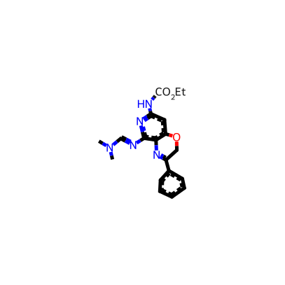 CCOC(=O)Nc1cc2c(c(/N=C/N(C)C)n1)N=C(c1ccccc1)CO2